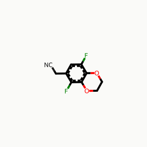 N#CCc1cc(F)c2c(c1F)OCCO2